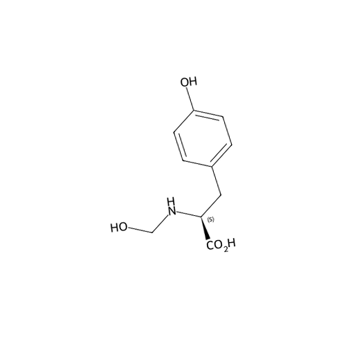 O=C(O)[C@H](Cc1ccc(O)cc1)NCO